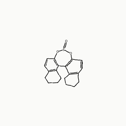 O=S1Oc2ccc3c(c2-c2c(ccc4c2CCCC4)O1)CCCC3